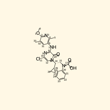 COc1nc(C)c(Nc2nc(Cl)cn([C@H](CN(C(=O)O)c3ccccc3)C3CC3)c2=O)cc1C